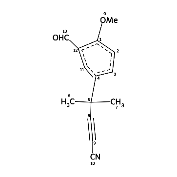 COc1ccc(C(C)(C)C#CC#N)cc1C=O